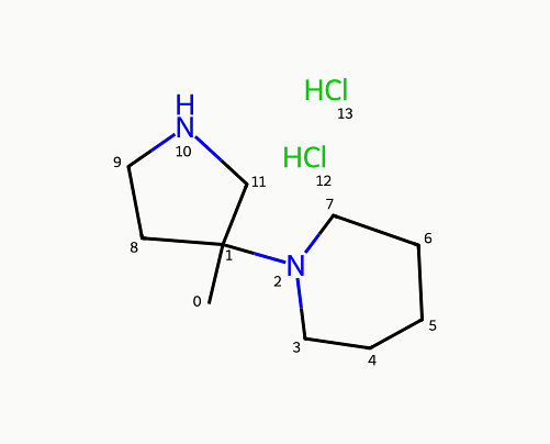 CC1(N2CCCCC2)CCNC1.Cl.Cl